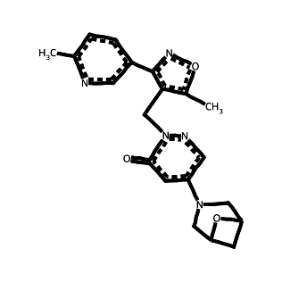 Cc1ccc(-c2noc(C)c2Cn2ncc(N3CC4CC(C3)O4)cc2=O)cn1